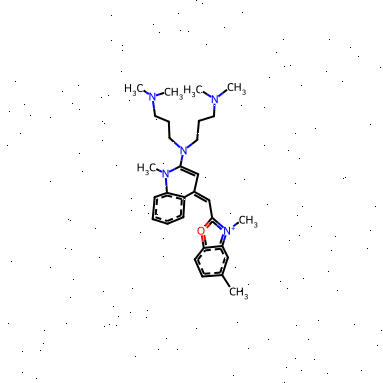 Cc1ccc2oc(/C=C3/C=C(N(CCCN(C)C)CCCN(C)C)N(C)c4ccccc43)[n+](C)c2c1